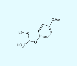 CCSC(Oc1ccc(OC)cc1)C(=O)O